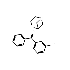 C1CN2CC(C2)O1.O=C(c1ccccc1)c1cccc(C(F)(F)F)c1